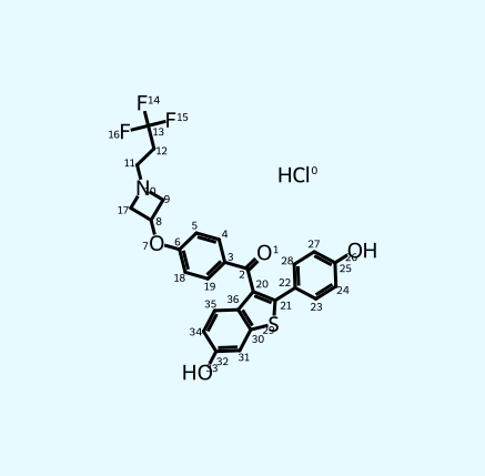 Cl.O=C(c1ccc(OC2CN(CCC(F)(F)F)C2)cc1)c1c(-c2ccc(O)cc2)sc2cc(O)ccc12